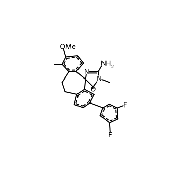 COc1ccc2c(c1C)CCc1ccc(-c3cc(F)cc(F)c3)cc1C21N=C(N)N(C)C1=O